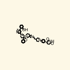 O=C1CC[C@H](c2ccc(N3CCC(CCN4CC5(CCCN(C(=O)C6(c7ccccc7)CCN(c7cnnc(-c8ccccc8O)c7)CC6)C5)C4)CC3)cc2)C(=O)N1